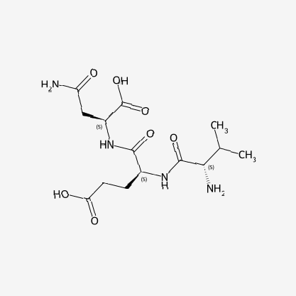 CC(C)[C@H](N)C(=O)N[C@@H](CCC(=O)O)C(=O)N[C@@H](CC(N)=O)C(=O)O